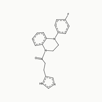 O=C(CCc1cnc[nH]1)N1CCN(c2ccc(F)cc2)c2ccccc21